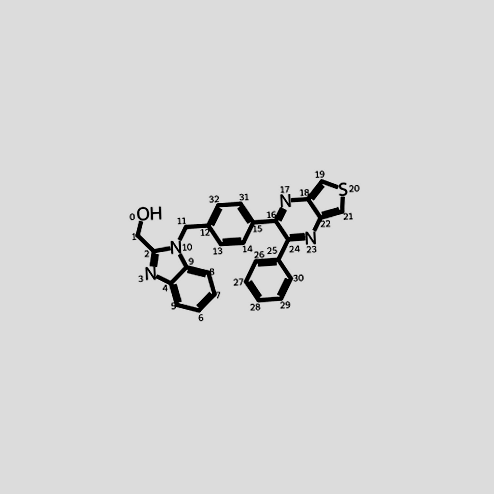 OCc1nc2ccccc2n1Cc1ccc(-c2nc3cscc3nc2-c2ccccc2)cc1